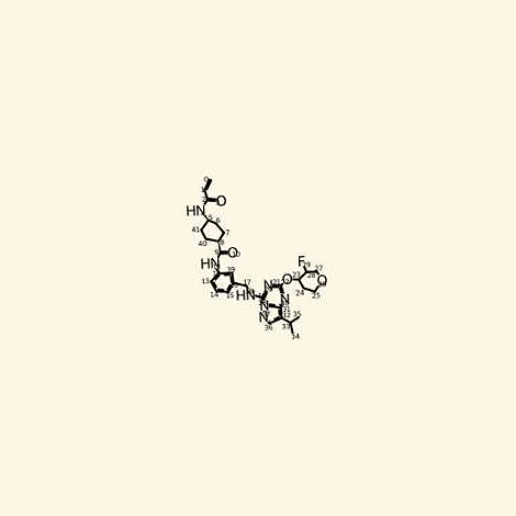 C=CC(=O)N[C@H]1CC[C@@H](C(=O)Nc2cccc(CNc3nc(OC4CCOCC4F)nc4c(C(C)C)cnn34)c2)CC1